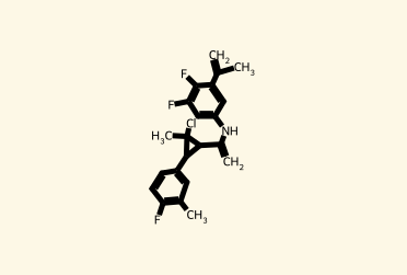 C=C(C)c1cc(NC(=C)C2C(c3ccc(F)c(C)c3)C2(C)Cl)cc(F)c1F